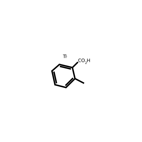 Cc1ccccc1C(=O)O.[Tl]